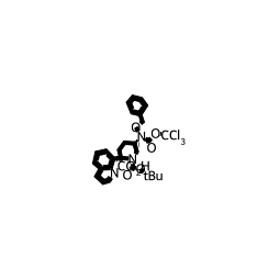 CC(C)(C)OC(=O)N1C[C@H](N(OCc2ccccc2)C(=O)OC(Cl)(Cl)Cl)CC[C@@]1(C(=O)O)c1cccc2cccnc12